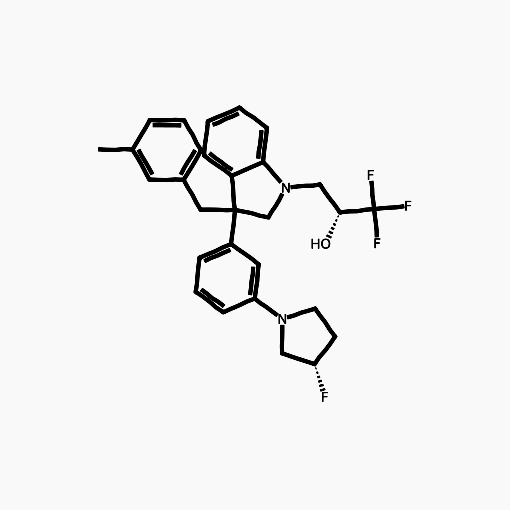 Cc1cccc(CC2(c3cccc(N4CC[C@H](F)C4)c3)CN(C[C@@H](O)C(F)(F)F)c3ccccc32)c1